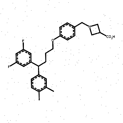 Cc1ccc(C(CCCOc2ccc(CN3CC(C(=O)O)C3)cc2)c2cc(F)cc(F)c2)cc1C